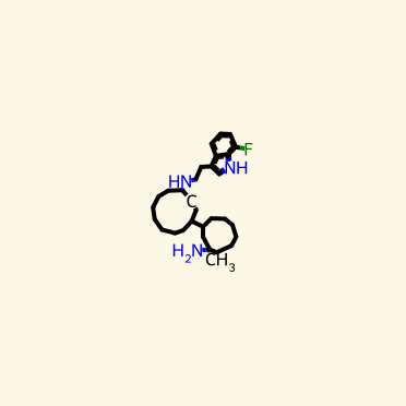 CC1(N)CCCCCCC(C2CCCCCCCC(NCCc3c[nH]c4c(F)cccc34)CC2)C1